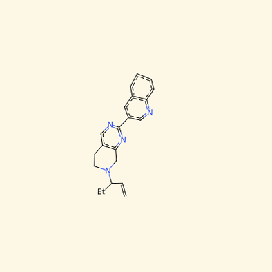 C=CC(CC)N1CCc2cnc(-c3cnc4ccccc4c3)nc2C1